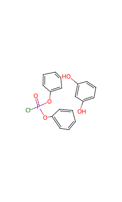 O=P(Cl)(Oc1ccccc1)Oc1ccccc1.Oc1cccc(O)c1